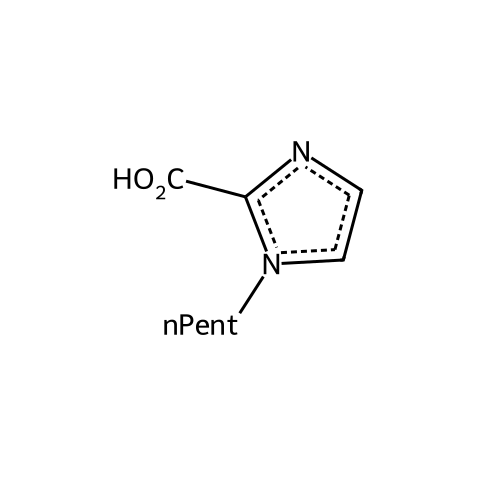 CCCCCn1ccnc1C(=O)O